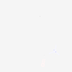 C=CCCC(=O)N(C)C(C)CCC(C)(C)C